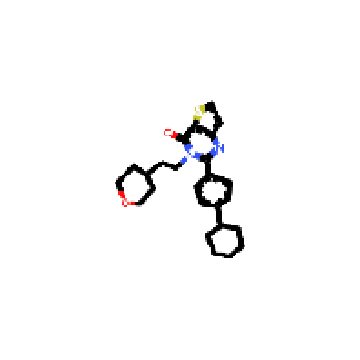 O=c1c2sccc2nc(-c2ccc(C3CCCCC3)cc2)n1CCC1CCOCC1